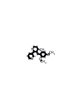 COc1ccc(/C=C2/C(c3cccnc3)=NCC[C@@H]2C)c(OC)c1